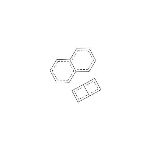 c1cc2ccc1-2.c1ccc2ccccc2c1